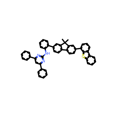 CC1(C)c2cc(-c3ccccc3Nc3nc(-c4ccccc4)cc(-c4ccccc4)n3)ccc2-c2ccc(-c3cccc4c3sc3ccccc34)cc21